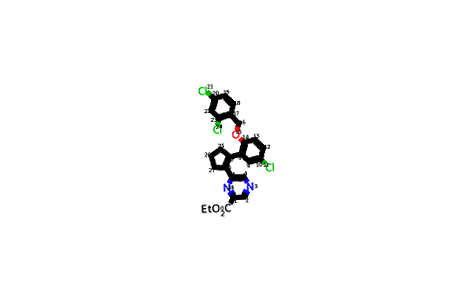 CCOC(=O)c1cncc(C2=C(c3cc(Cl)ccc3OCc3ccc(Cl)cc3Cl)CCC2)n1